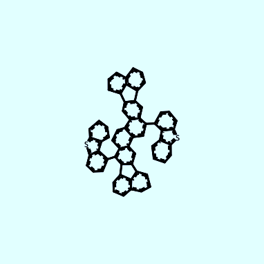 c1cc2c3c(cccc3c1)-c1cc3c(cc1-2)c(-c1cccc2sc4ccccc4c12)cc1c2cc4c(c(-c5cccc6sc7ccccc7c56)c2ccc31)-c1cccc2cccc-4c12